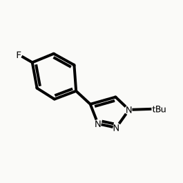 CC(C)(C)n1cc(-c2ccc(F)cc2)nn1